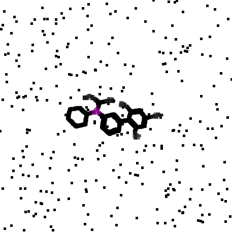 CCCC(CC)P(c1cccc(-c2c(C(C)C)cc(C(C)C)cc2C(C)C)c1)C1CCCCC1